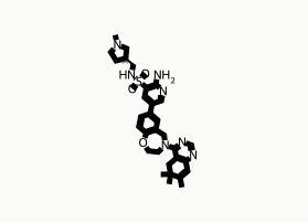 CC1=Cc2ncnc(N3CCOc4ccc(-c5cnc(N)c(S(=O)(=O)NC[C@H]6CCN(C)C6)c5)cc4C3)c2CC1(C)C